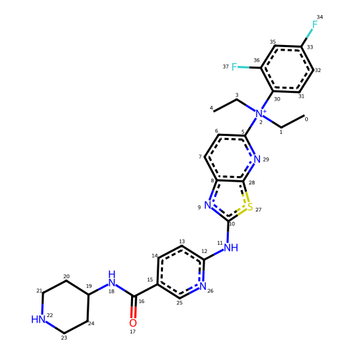 CC[N+](CC)(c1ccc2nc(Nc3ccc(C(=O)NC4CCNCC4)cn3)sc2n1)c1ccc(F)cc1F